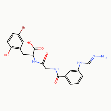 NN=CNc1cccc(C(=O)NCC(=O)NC(Cc2cc(Br)ccc2O)C(=O)O)c1